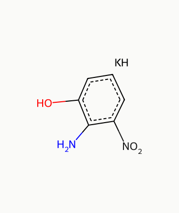 Nc1c(O)cccc1[N+](=O)[O-].[KH]